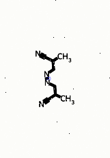 CC(C#N)C/N=N\CC(C)C#N